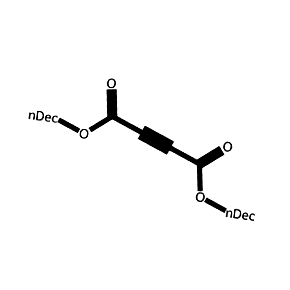 CCCCCCCCCCOC(=O)C#CC(=O)OCCCCCCCCCC